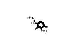 CCCSNc1ccc(F)c(C(=O)O)c1F